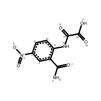 NC(=O)c1cc([N+](=O)[O-])ccc1NC(=O)C(=O)O